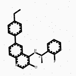 CCc1ccc(-c2ccc3ncc(Cl)c(N[C@H](C)c4ccccc4F)c3c2)cc1